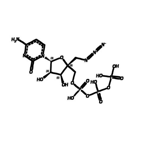 [N-]=[N+]=NC[C@]1(COP(=O)(O)OP(=O)(O)OP(=O)(O)O)O[C@@H](n2ccc(N)nc2=O)[C@H](O)[C@@H]1O